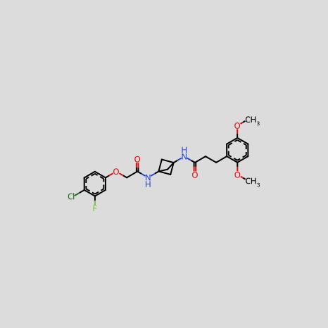 COc1ccc(OC)c(CCC(=O)NC23CC(NC(=O)COc4ccc(Cl)c(F)c4)(C2)C3)c1